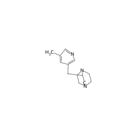 Cc1cncc(CC2CN3CCN2CC3)c1